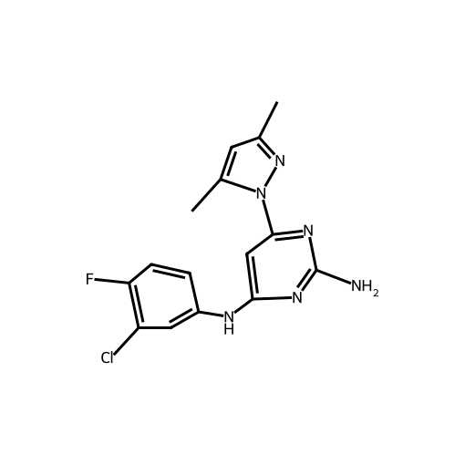 Cc1cc(C)n(-c2cc(Nc3ccc(F)c(Cl)c3)nc(N)n2)n1